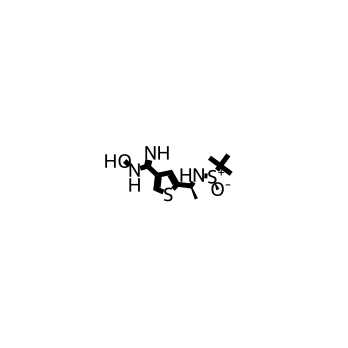 C[C@H](N[S@+]([O-])C(C)(C)C)c1cc(C(=N)NO)cs1